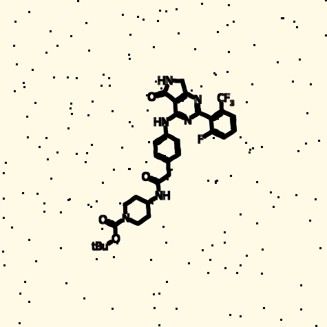 CC(C)(C)OC(=O)N1CCC(NC(=O)Cc2ccc(Nc3nc(-c4c(F)cccc4C(F)(F)F)nc4c3C(=O)NC4)cc2)CC1